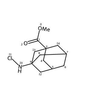 COC(=O)C12CC3CC(CC(NCl)(C3)C1)C2